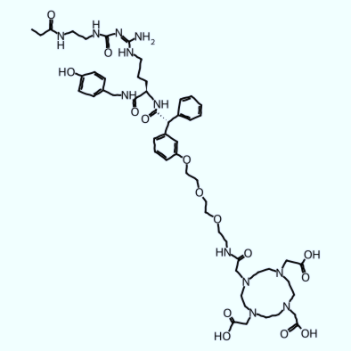 CCC(=O)NCCNC(=O)/N=C(/N)NCCC[C@@H](NC(=O)[C@H](c1ccccc1)c1cccc(OCCOCCOCCNC(=O)CN2CCN(CC(=O)O)CCN(CC(=O)O)CCN(CC(=O)O)CC2)c1)C(=O)NCc1ccc(O)cc1